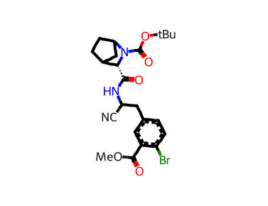 COC(=O)c1cc(CC(C#N)NC(=O)[C@@H]2C3CCC(C3)N2C(=O)OC(C)(C)C)ccc1Br